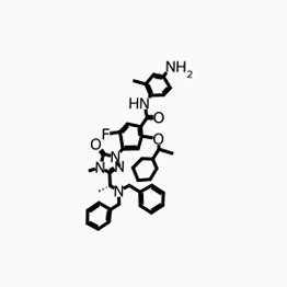 Cc1cc(N)ccc1NC(=O)c1cc(F)c(-n2nc([C@@H](C)N(Cc3ccccc3)Cc3ccccc3)n(C)c2=O)cc1OC(C)C1CCCCC1